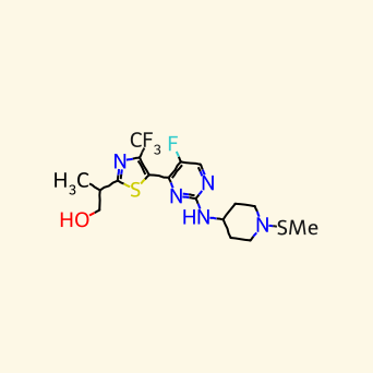 CSN1CCC(Nc2ncc(F)c(-c3sc(C(C)CO)nc3C(F)(F)F)n2)CC1